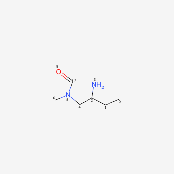 CCC(N)CN(C)[C]=O